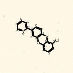 Clc1cccc2c1Sc1ccc(-c3ccccn3)cc1O2